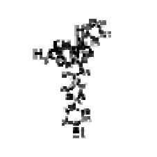 CCC1CCC(c2ccc(-c3ccc4c(c3)OC(C)(C)CN4C(=O)Nc3ccccc3)cc2)CC1